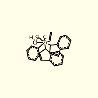 C=[CH][Zr]([SiH3])([Cl])([Cl])([c]1ccccc1)([CH]1C=Cc2ccccc21)[CH]1C=Cc2ccccc21